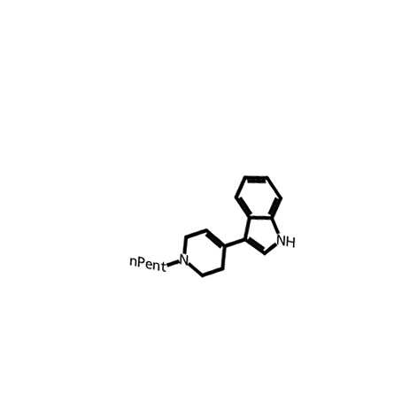 CCCCCN1CC=C(c2c[nH]c3ccccc23)CC1